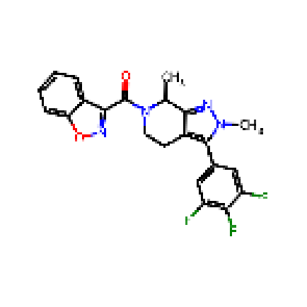 CC1c2nn(C)c(-c3cc(F)c(F)c(F)c3)c2CCN1C(=O)c1noc2ccccc12